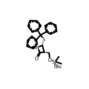 CC(C)(C)[Si](C)(C)OC[C@H]1C(=O)N[C@@H]1SC(c1ccccc1)(c1ccccc1)c1ccccc1